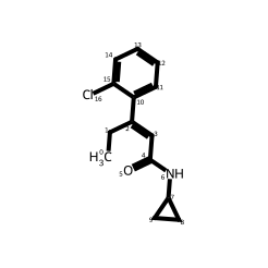 CCC(=CC(=O)NC1CC1)c1ccccc1Cl